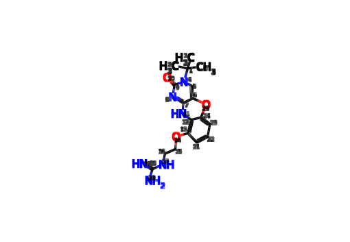 CC(C)(C)n1cc2c(nc1=O)Nc1c(OCCNC(=N)N)cccc1O2